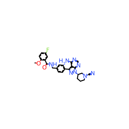 COc1ccc(F)cc1C(=O)NCc1ccc(-c2nn([C@@H]3CCCN(C#N)C3)c3ncnc(N)c23)cc1